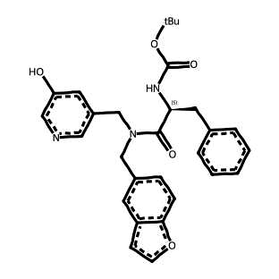 CC(C)(C)OC(=O)N[C@@H](Cc1ccccc1)C(=O)N(Cc1cncc(O)c1)Cc1ccc2occc2c1